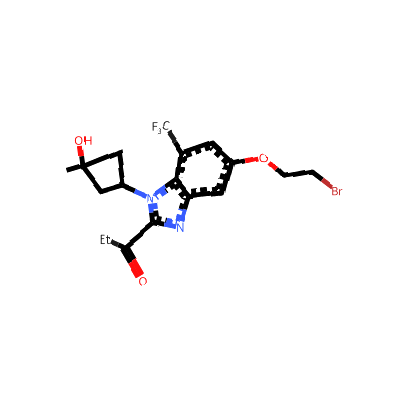 CCC(=O)c1nc2cc(OCCBr)cc(C(F)(F)F)c2n1C1CC(C)(O)C1